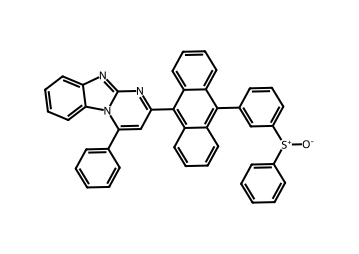 [O-][S+](c1ccccc1)c1cccc(-c2c3ccccc3c(-c3cc(-c4ccccc4)n4c(n3)nc3ccccc34)c3ccccc23)c1